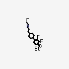 CCOc1ccc(C2CCC(CC/C=C/CF)CC2)c(F)c1F